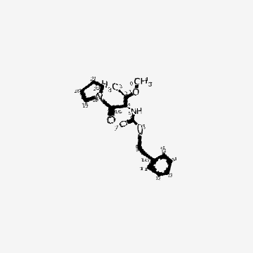 CO[C@H](C)[C@H](NC(=O)OCc1ccccc1)C(=O)N1CCCC1